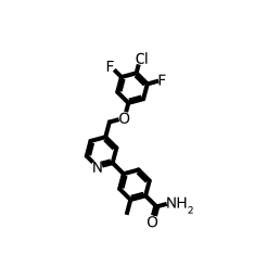 Cc1cc(-c2cc(COc3cc(F)c(Cl)c(F)c3)ccn2)ccc1C(N)=O